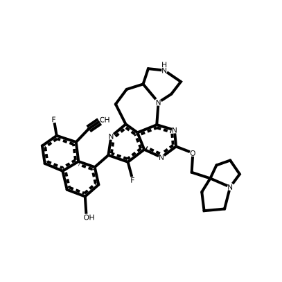 C#Cc1c(F)ccc2cc(O)cc(-c3nc4c5c(nc(OCC67CCCN6CCC7)nc5c3F)N3CCNCC3CC4)c12